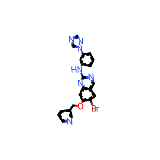 Brc1cc2cnc(Nc3cccc(-n4cncn4)c3)nc2cc1OCc1cccnc1